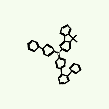 CC1(C)c2ccccc2-c2cc(N(c3ccc(C4=CC=C=C=C4)cc3)c3ccc(-c4ccccc4-c4ccccc4)cc3)ccc21